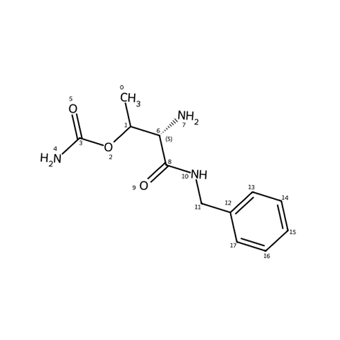 CC(OC(N)=O)[C@H](N)C(=O)NCc1ccccc1